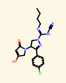 CCCCN=C(NC#N)N1CC(N2CC(O)=CC2=O)C(c2ccc(Cl)cc2)=N1